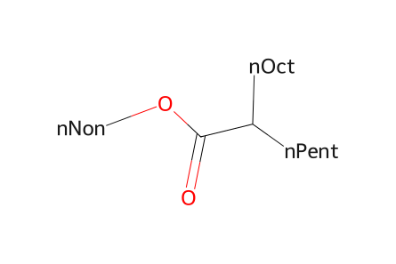 CCCCCCCCCOC(=O)C(CCCCC)CCCCCCCC